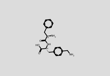 NCc1ccc(C[C@@H](NC(=O)[C@H](N)Cc2ccccc2)C(=O)O)cc1